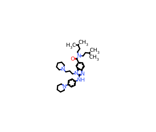 CC(C)CCN(CCC(C)C)C(=O)c1ccc2nc(Nc3ccc(N4CCCCC4)cc3)n(CCCN3CCCCC3)c2c1